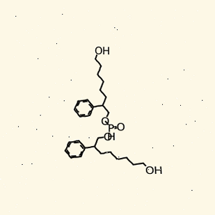 O=[PH](OCC(CCCCCCO)c1ccccc1)OCC(CCCCCCO)c1ccccc1